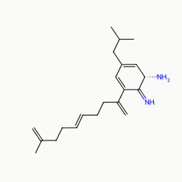 C=C(C)CC/C=C/CCC(=C)C1=CC(CC(C)C)=C[C@H](N)C1=N